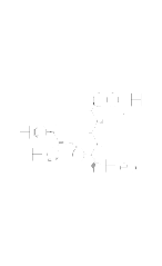 CCCCCCC(CCCCC(=O)O)OCC(O)CO